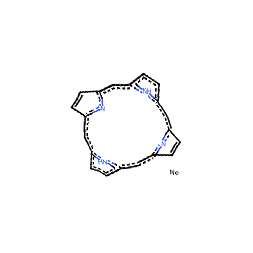 C1=Cc2cc3ccc(cc4nc(cc5ccc(cc1n2)[nH]5)C=C4)[nH]3.[Ne]